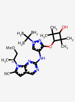 BC(B)(B)n1cc(Nc2ncc3cc(C#N)n([C@@H](C)COC)c3n2)c(OC2C(C)(C)C(O)C2(C)C)n1